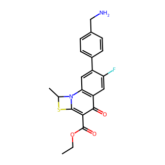 CCOC(=O)c1c2n(c3cc(-c4ccc(CN)cc4)c(F)cc3c1=O)C(C)S2